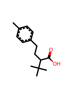 Cc1ccc(CCC(C(=O)O)C(C)(C)C)cc1